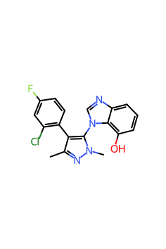 Cc1nn(C)c(-n2cnc3cccc(O)c32)c1-c1ccc(F)cc1Cl